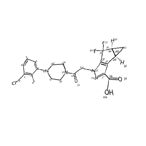 Cc1c(Cl)cccc1N1CCN(C(=O)Cn2nc(C(=O)O)c3c2C(F)(F)[C@H]2C[C@@H]32)CC1